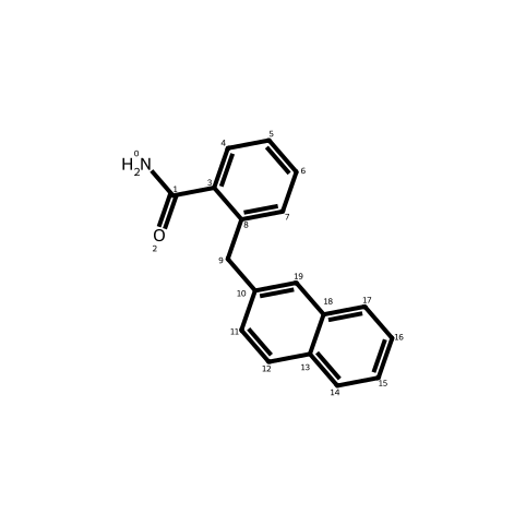 NC(=O)c1ccccc1Cc1ccc2ccccc2c1